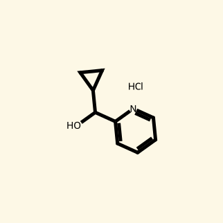 Cl.OC(c1ccccn1)C1CC1